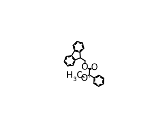 CO[C](C(=O)OCC1c2ccccc2-c2ccccc21)c1ccccc1